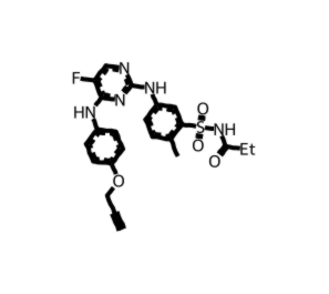 C#CCOc1ccc(Nc2nc(Nc3ccc(C)c(S(=O)(=O)NC(=O)CC)c3)ncc2F)cc1